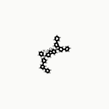 CC1(C)c2cc(N(c3ccccc3)c3ccc(-c4cccc(-c5ccccc5)c4)cc3)ccc2-c2ccc(-n3c4ccc(-c5ccccc5)cc4c4cc(-c5ccccc5)ccc43)cc21